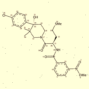 COC(=O)c1cccc(C(=O)N[C@H](CCSC)C(=O)N2CC[C@](O)(c3ccc(Cl)cc3)C(C)(C)C2)c1